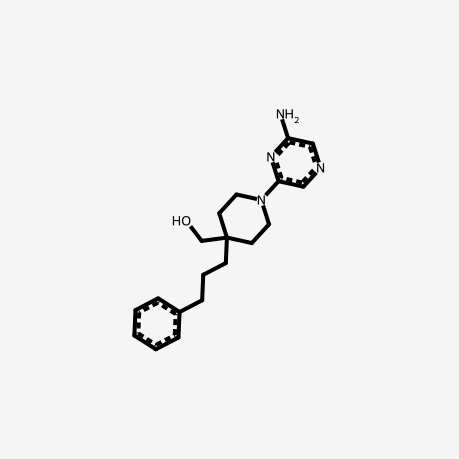 Nc1cncc(N2CCC(CO)(CCCc3ccccc3)CC2)n1